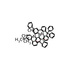 Cc1ccccc1-c1cc2c3c(c1)N(c1ccc(C(C)(C)C)cc1-c1ccccc1)c1ccc4c(sc5ccccc54)c1B3N1c3ccccc3C(c3ccccc3)(c3ccccc3)c3cccc-2c31